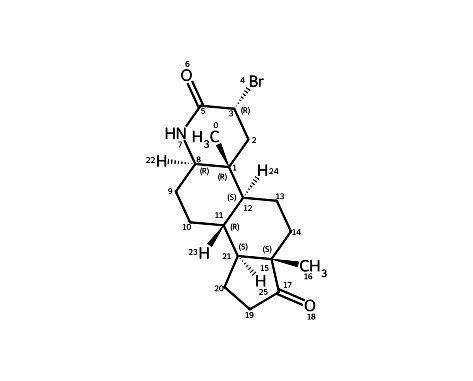 C[C@]12C[C@@H](Br)C(=O)N[C@@H]1CC[C@@H]1[C@@H]2CC[C@]2(C)C(=O)CC[C@@H]12